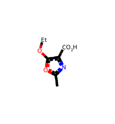 CCOc1oc(C)nc1C(=O)O